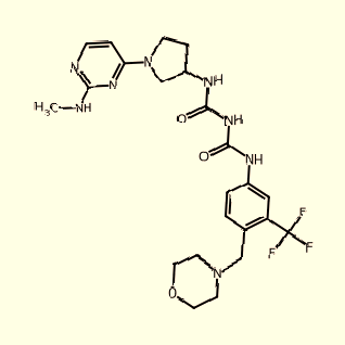 CNc1nccc(N2CCC(NC(=O)NC(=O)Nc3ccc(CN4CCOCC4)c(C(F)(F)F)c3)C2)n1